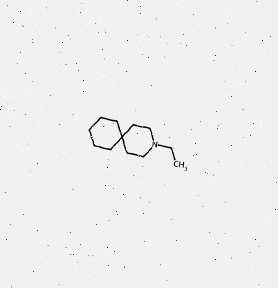 C[CH]N1CCC2(CCCCC2)CC1